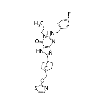 CCCn1c(NCc2ccc(F)cc2)nc2nc(C34CCC(COc5nccs5)(CC3)CC4)[nH]c2c1=O